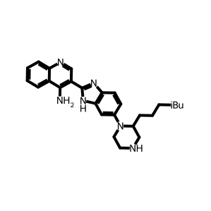 CCC(C)CCCC1CNCCN1c1ccc2nc(-c3cnc4ccccc4c3N)[nH]c2c1